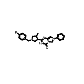 CC1CN(Cc2ccc(F)cc2)CC1C1=NC2=CN(c3ccccc3)CN2C(=O)N1